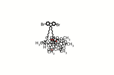 COC(=O)C1OC(N2NN(C)C=C2COCCCCCCC2(CCCCCCOCC3=CN(C4OC(C(=O)OC)C(OC(C)=O)C(OC(C)=O)C4OC(C)=O)N(C)N3)c3cc(Br)ccc3-c3ccc(Br)cc32)C(OC(C)=O)C(OC(C)=O)C1OC(C)=O